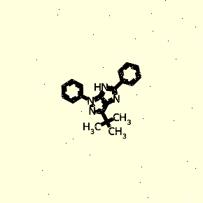 CC(C)(C)c1nn(-c2ccccc2)c2[nH]c(-c3ccccc3)nc12